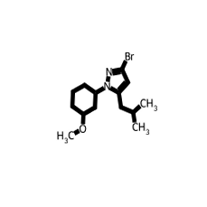 COC1CCCC(n2nc(Br)cc2CC(C)C)C1